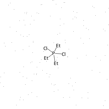 CCP(Cl)(Cl)(CC)CC